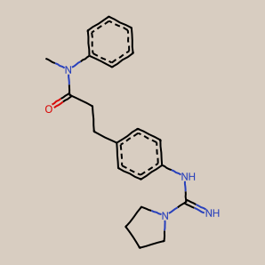 CN(C(=O)CCc1ccc(NC(=N)N2CCCC2)cc1)c1ccccc1